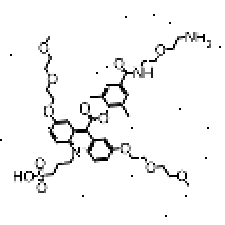 COCCOCCOc1ccc2c(c1)c(C(=O)Oc1c(C)cc(C(=O)NCCOCCN)cc1C)c1cc(OCCOCCOC)ccc1[n+]2CCCS(=O)(=O)O